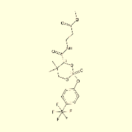 COC(=O)CCNC(=O)[C@@H]1O[P@](=O)(Oc2ccc(S(F)(F)(F)(F)F)cc2)OCC1(C)C